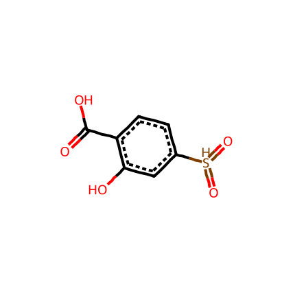 O=C(O)c1ccc([SH](=O)=O)cc1O